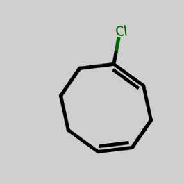 ClC1=CCC=CCCC1